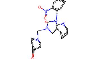 O=C1N(Cn2ccc(=O)cc2)Cc2cccnc2N1c1ccccc1[N+](=O)[O-]